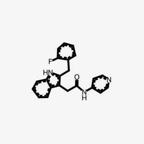 O=C(Cc1c(Cc2ccccc2F)[nH]c2ccccc12)Nc1ccncc1